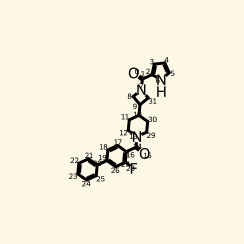 O=C(c1ccc[nH]1)N1CC(C2CCN(C(=O)c3ccc(-c4ccccc4)cc3F)CC2)C1